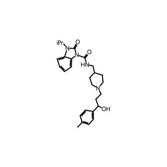 Cc1ccc(C(O)CCN2CCC(CNC(=O)n3c(=O)n(C(C)C)c4ccccc43)CC2)cc1